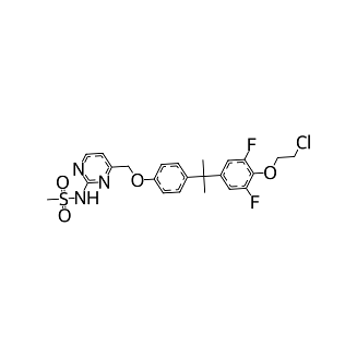 CC(C)(c1ccc(OCc2ccnc(NS(C)(=O)=O)n2)cc1)c1cc(F)c(OCCCl)c(F)c1